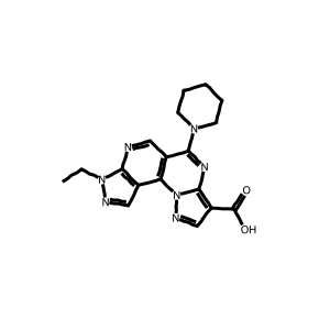 CCn1ncc2c1ncc1c(N3CCCCC3)nc3c(C(=O)O)cnn3c12